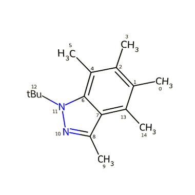 Cc1c(C)c(C)c2c(c(C)nn2C(C)(C)C)c1C